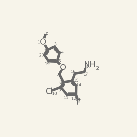 COc1ccc(OCc2c(Cl)cc(F)cc2CCN)cc1